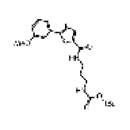 COc1cccc(-c2ncc(C(=O)NCCCNC(=O)OC(C)(C)C)s2)c1